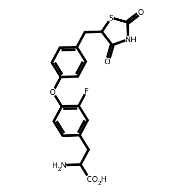 NC(Cc1ccc(Oc2ccc(CC3SC(=O)NC3=O)cc2)c(F)c1)C(=O)O